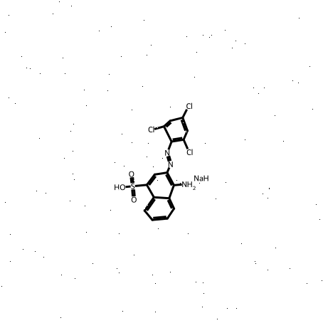 Nc1c(N=Nc2c(Cl)cc(Cl)cc2Cl)cc(S(=O)(=O)O)c2ccccc12.[NaH]